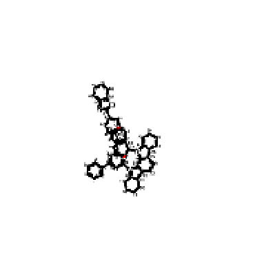 c1ccc(-c2nc(-c3ccccc3)nc(-n3c4ccccc4c4ccc5c6ccccc6n(-c6cccc(-c7ccc(-c8nc9ccccc9o8)cc7)c6)c5c43)n2)cc1